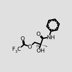 C[C@](O)(COC(=O)C(F)(F)F)C(=O)Nc1ccccc1